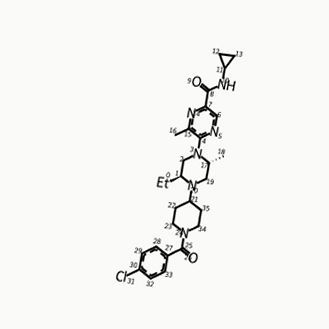 CC[C@H]1CN(c2ncc(C(=O)NC3CC3)nc2C)[C@H](C)CN1C1CCN(C(=O)c2ccc(Cl)cc2)CC1